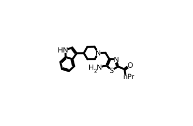 CCCC(=O)c1nc(CN2CCC(c3c[nH]c4ccccc34)CC2)c(N)s1